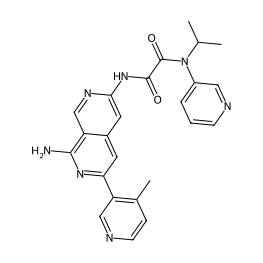 Cc1ccncc1-c1cc2cc(NC(=O)C(=O)N(c3cccnc3)C(C)C)ncc2c(N)n1